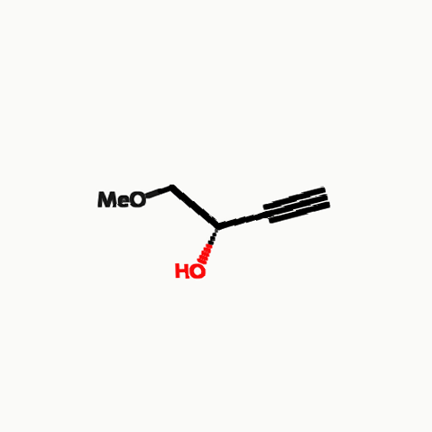 C#C[C@H](O)COC